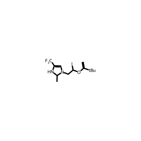 C=C(OC(I)CN1C=C(C(F)(F)F)NC1C)C(C)(C)C